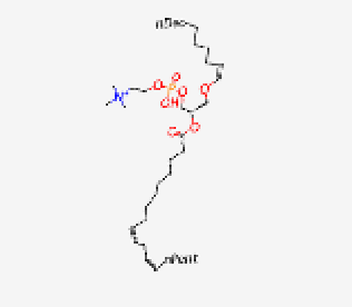 CCCCC/C=C\C/C=C\CCCCCCCC(=O)O[C@H](CO/C=C\CCCCCCCCCCCCCC)COP(=O)(O)OCC[N+](C)(C)C